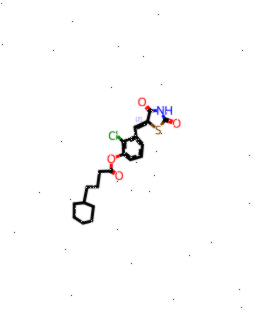 O=C(CCCC1CCCCC1)Oc1cccc(/C=C2\SC(=O)NC2=O)c1Cl